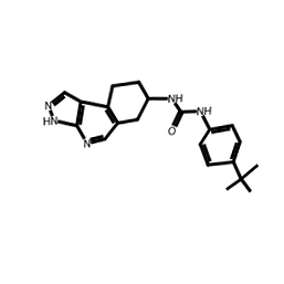 CC(C)(C)c1ccc(NC(=O)NC2CCc3c(cnc4[nH]ncc34)C2)cc1